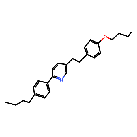 CCCCOc1ccc(CCc2ccc(-c3ccc(CCCC)cc3)nc2)cc1